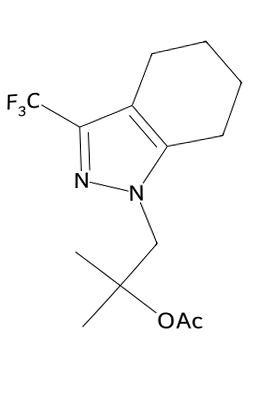 CC(=O)OC(C)(C)Cn1nc(C(F)(F)F)c2c1CCCC2